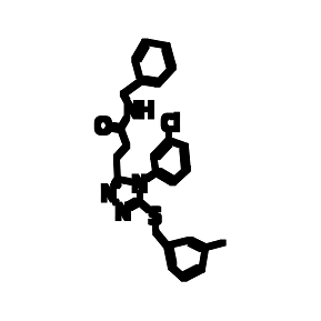 Cc1cccc(CSc2nnc(CCC(=O)NCc3ccccc3)n2-c2cccc(Cl)c2)c1